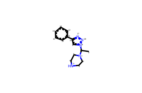 CC(N1CCNCC1)n1cc(-c2[c]cccc2)nn1